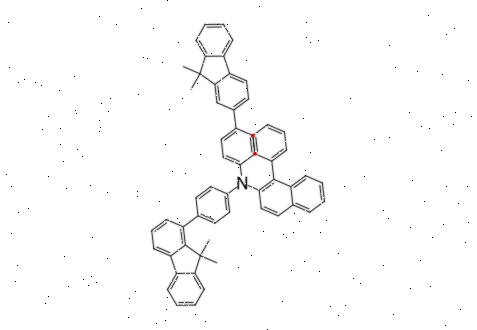 CC1(C)c2ccccc2-c2ccc(-c3ccc(N(c4ccc(-c5cccc6c5C(C)(C)c5ccccc5-6)cc4)c4ccc5ccccc5c4-c4ccccc4)cc3)cc21